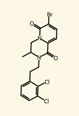 CC1Cn2c(ccc(Br)c2=O)C(=O)N1CCc1cccc(Cl)c1Cl